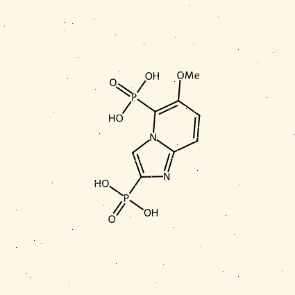 COc1ccc2nc(P(=O)(O)O)cn2c1P(=O)(O)O